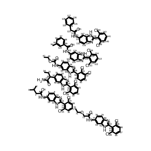 CC(C)CC(=O)Nc1ccc2nc(-c3c(Cl)cccc3Cl)[nH]c2c1.CCC(C(N)=O)c1ccc2nc(-c3c(Cl)cccc3Cl)[nH]c2c1.CCOC(=O)Nc1ccc2nc(-c3cccc(Cl)c3Cl)[nH]c2c1.CCOCC(=O)Nc1ccc2nc(-c3c(Cl)cccc3Cl)[nH]c2c1.Cc1cccc(C(=O)Nc2ccc3nc(-c4c(Cl)cccc4Cl)[nH]c3c2)c1.O=C(Cc1ccccc1)Nc1ccc2nc(-c3c(Cl)cccc3Cl)[nH]c2c1